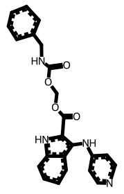 O=C(NCc1ccccc1)OCOC(=O)c1[nH]c2ccccc2c1Nc1ccncc1